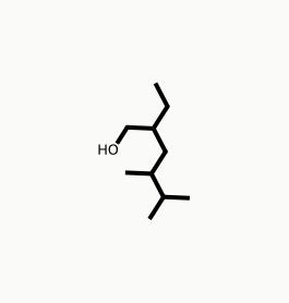 CCC(CO)CC(C)C(C)C